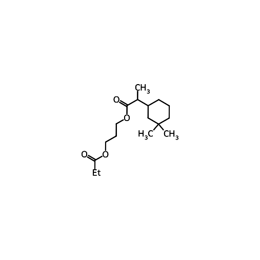 CCC(=O)OCCCOC(=O)C(C)C1CCCC(C)(C)C1